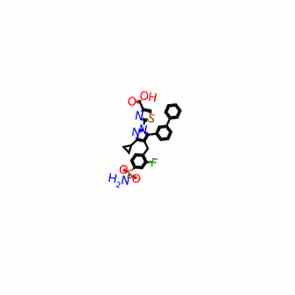 NS(=O)(=O)c1ccc(Cc2c(C3CC3)nn(-c3nc(C(=O)O)cs3)c2-c2cccc(-c3ccccc3)c2)c(F)c1